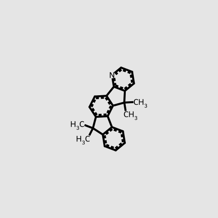 CC1(C)c2ccccc2-c2c1ccc1c2C(C)(C)c2cccnc2-1